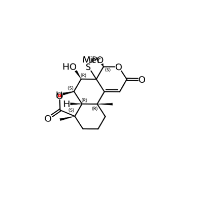 CO[C@H]1OC(=O)C=C2C1(SC(C)C)[C@H](O)[C@H]1OC(=O)[C@@]3(C)CCC[C@]2(C)[C@@H]13